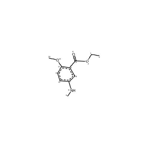 CCOC(=O)c1cc(NC)ccc1OC